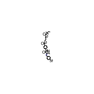 CCC(C)(C)C(=O)OCCCOC(=O)c1ccc(N2N=C(C)/C(=C\c3ccc(N(C)C)cc3)C2=O)cc1